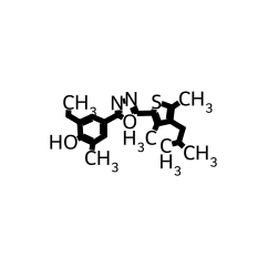 CCc1cc(-c2nnc(-c3sc(C)c(CC(C)C)c3C)o2)cc(C)c1O